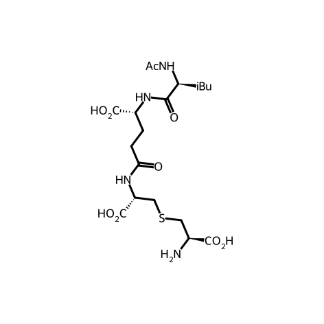 CCC(C)[C@H](NC(C)=O)C(=O)N[C@H](CCC(=O)N[C@H](CSC[C@H](N)C(=O)O)C(=O)O)C(=O)O